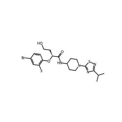 CC(C)c1nsc(N2CCC(NC(=O)[C@H](CCO)Oc3ccc(Br)cc3F)CC2)n1